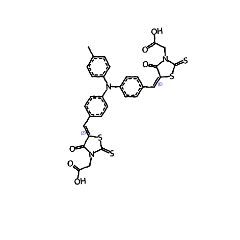 Cc1ccc(N(c2ccc(/C=C3\SC(=S)N(CC(=O)O)C3=O)cc2)c2ccc(/C=C3/SC(=S)N(CC(=O)O)C3=O)cc2)cc1